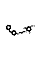 Oc1cc(Cl)c(OCCCOc2ccc(Cc3ccccc3)cc2)c(Cl)c1